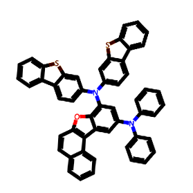 c1ccc(N(c2ccccc2)c2cc(N(c3ccc4c(c3)sc3ccccc34)c3ccc4c(c3)sc3ccccc34)c3oc4ccc5ccccc5c4c3c2)cc1